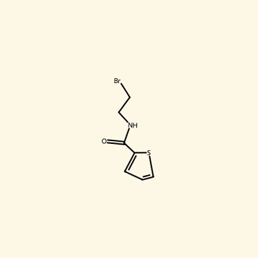 O=C(NCCBr)c1cccs1